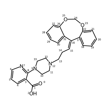 O=C(O)c1cccnc1N1CCN(CCC=C2c3ccccc3OCOc3ccccc32)CC1